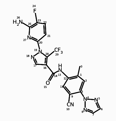 Cc1cc(-n2nccn2)c(C#N)cc1NC(=O)c1cnn(-c2ccc(F)c(N)n2)c1C(F)(F)F